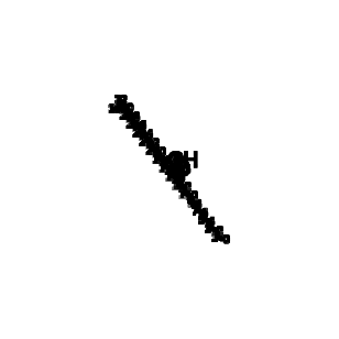 CCCCCCCCCCCCCCCCC(CCCCCCCCCCCCCCC(C)C)C(=O)O